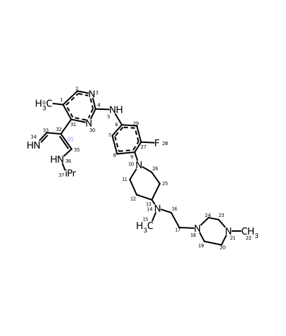 Cc1cnc(Nc2ccc(N3CCC(N(C)CCN4CCN(C)CC4)CC3)c(F)c2)nc1/C(C=N)=C/NC(C)C